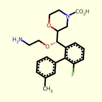 Cc1cccc(-c2c(F)cccc2[C@H](OCCN)C2CN(C(=O)O)CCO2)c1